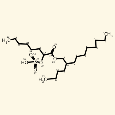 CCCCCCCCC(CCCC)COC(=O)C(CCCCCC)OS(=O)(=O)O